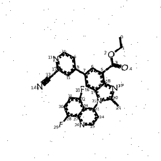 CCOC(=O)c1cc(-c2ccnc(C#N)c2)cc2c1nc(C)n2-c1ccnc2c(F)ccc(F)c12